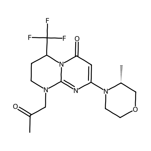 CC(=O)CN1CCC(C(F)(F)F)n2c1nc(N1CCOC[C@H]1C)cc2=O